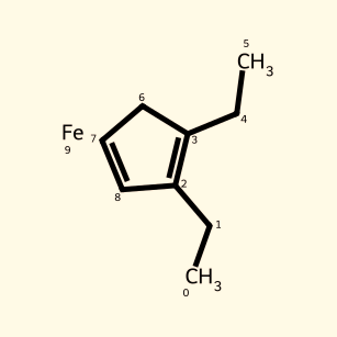 CCC1=C(CC)CC=C1.[Fe]